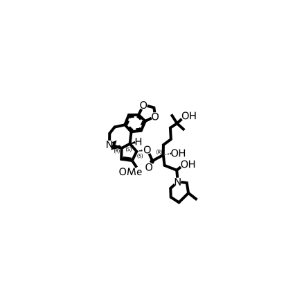 COC1=C[C@]23CCCN2CCc2cc4c(cc2[C@@H]3[C@@H]1OC(=O)[C@@](O)(CCCC(C)(C)O)CC(O)N1CCCC(C)C1)OCO4